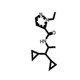 CCn1nccc1C(=O)NC(C)C(C1CC1)C1CC1